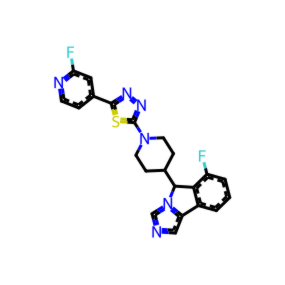 Fc1cc(-c2nnc(N3CCC(C4c5c(F)cccc5-c5cncn54)CC3)s2)ccn1